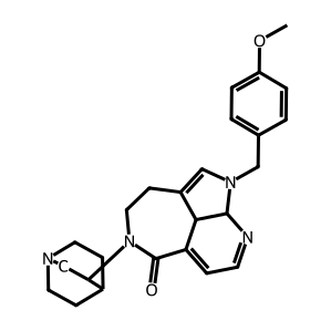 COc1ccc(CN2C=C3CCN(C4CN5CCC4CC5)C(=O)C4=CC=NC2C34)cc1